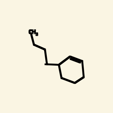 CCC[CH]C1C=CCCC1